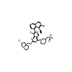 C#Cc1c(F)ccc2cccc(-c3ncc4c(N5CCCC(CS(C)(=O)=O)C5)nc(OC[C@@]56CCCN5C[C@H](F)C6)nc4c3F)c12